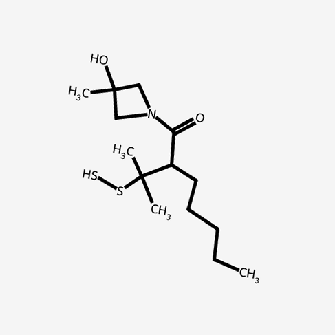 CCCCCC(C(=O)N1CC(C)(O)C1)C(C)(C)SS